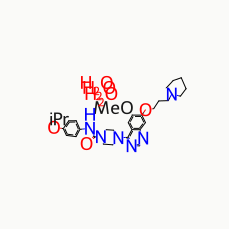 COc1cc2c(N3CCN(C(=O)Nc4ccc(OC(C)C)cc4)CC3)ncnc2cc1OCCCN1CCCCC1.O.O.O